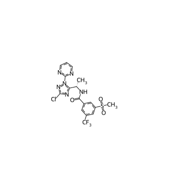 C[C@H](NC(=O)c1cc(C(F)(F)F)cc(S(C)(=O)=O)c1)c1nc(Cl)nn1-c1ncccn1